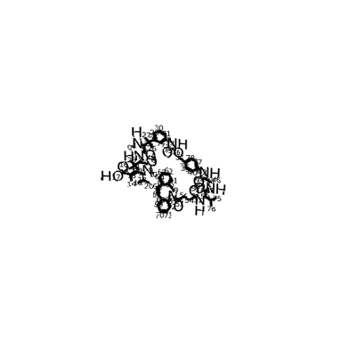 CNC(C(=O)N[C@H](C(=O)N(C)[C@H](/C=C(\C)C(=O)O)C(C)C)C(C)(C)C)C(C)(C)c1cccc(NC(=O)OCc2ccc(NC(=O)[C@H](C)NC(=O)[C@@H](NC(=O)CCC(=O)N3Cc4ccccc4C#Cc4ccccc43)C(C)C)cc2)c1